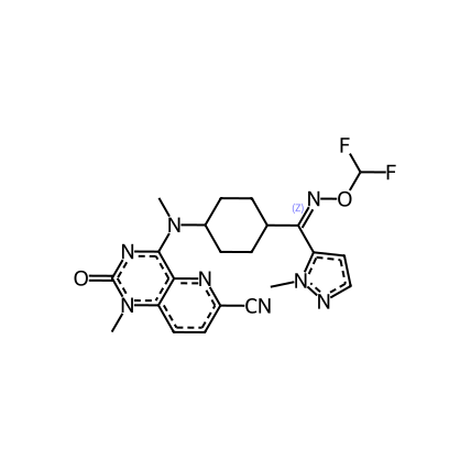 CN(c1nc(=O)n(C)c2ccc(C#N)nc12)C1CCC(/C(=N/OC(F)F)c2ccnn2C)CC1